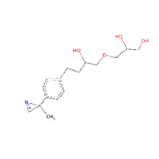 CC1(c2ccc(CCC(O)COCC(O)CO)cc2)C=N1